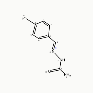 CC(C)c1ccc(/C=N/NC(N)=O)cc1